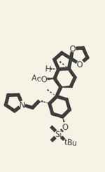 CC(=O)O[C@@H]1[C@H]([C@@]2(C)CC[C@H](O[Si](C)(C)C(C)(C)C)C[C@@H]2CCN2CCCC2)CC[C@@]2(C)[C@@H]1CCC21OCCO1